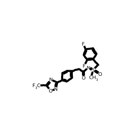 CS(=O)(Cc1ccc(F)cc1F)=NC(=O)Cc1ccc(-c2noc(C(F)(F)F)n2)cc1